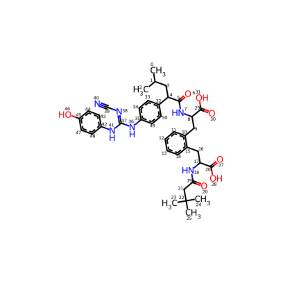 CC(C)CC(C(=O)NC(Cc1ccccc1CC(NC(=O)CC(C)(C)C)C(=O)O)C(=O)O)c1ccc(NC(=NC#N)Nc2ccc(O)cc2)cc1